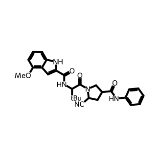 COc1cccc2[nH]c(C(=O)NC(C(=O)N3CC(C(=O)Nc4ccccc4)CC3C#N)C(C)(C)C)cc12